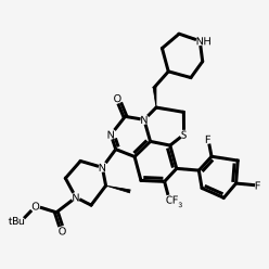 C[C@H]1CN(C(=O)OC(C)(C)C)CCN1c1nc(=O)n2c3c(c(-c4ccc(F)cc4F)c(C(F)(F)F)cc13)SC[C@@H]2CC1CCNCC1